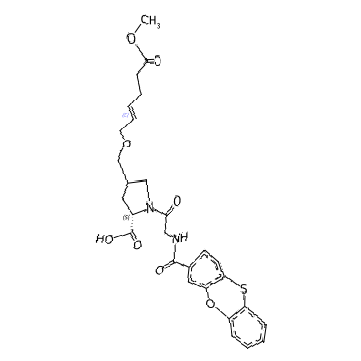 COC(=O)CC/C=C/COCC1C[C@@H](C(=O)O)N(C(=O)CNC(=O)c2ccc3c(c2)Oc2ccccc2S3)C1